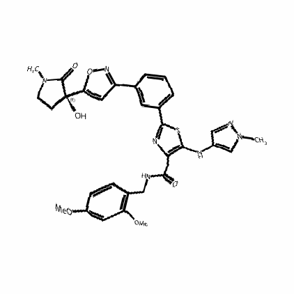 COc1ccc(CNC(=O)c2nc(-c3cccc(-c4cc([C@]5(O)CCN(C)C5=O)on4)c3)sc2Nc2cnn(C)c2)c(OC)c1